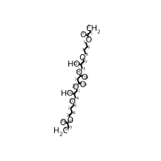 C=CC(=O)OCCCCOCC(O)COC(=O)CC(=O)OCC(O)COCCCCOC(=O)C=C